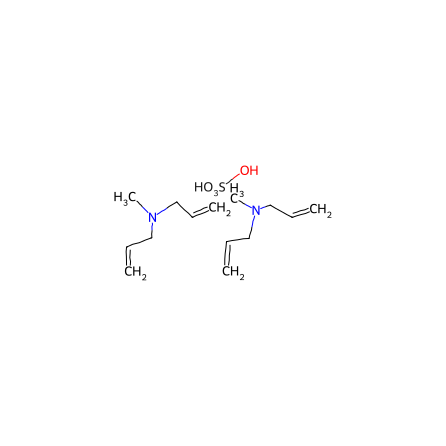 C=CCN(C)CC=C.C=CCN(C)CC=C.O=S(=O)(O)O